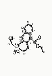 C=COC(=O)c1c2ccccc2cc2ccccc12.OCCO